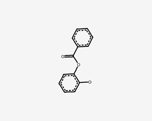 [O]c1ccccc1OC(=O)c1ccccc1